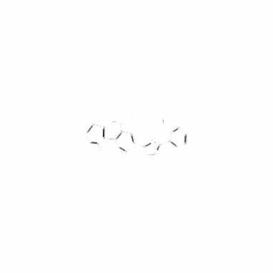 C=[N+]([O-])c1cc(C2=NC(c3ccccc3OC)=NC2)ccc1-c1ccccc1C